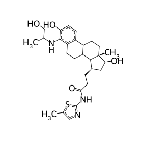 Cc1cnc(NC(=O)CC[C@@H]2C[C@H](O)[C@@]3(C)CCC4c5ccc(O)c(NC(C)CO)c5CCC4C23)s1